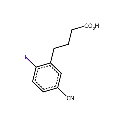 N#Cc1ccc(I)c(CCCC(=O)O)c1